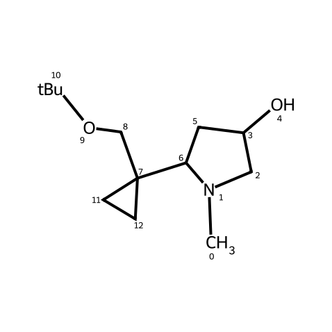 CN1CC(O)CC1C1(COC(C)(C)C)CC1